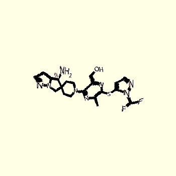 Cc1nc(N2CCC3(CC2)Cn2nccc2[C@H]3N)c(CO)nc1Sc1ccnn1C(F)F